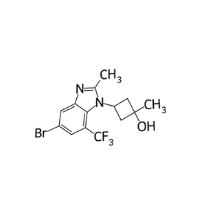 Cc1nc2cc(Br)cc(C(F)(F)F)c2n1C1CC(C)(O)C1